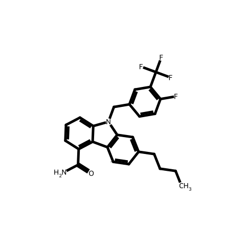 CCCCc1c[c]c2c3c(C(N)=O)cccc3n(Cc3ccc(F)c(C(F)(F)F)c3)c2c1